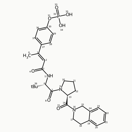 C/C(=C\C(=O)N[C@H](C(=O)N1CCC[C@H]1C(=O)N1CCc2ccccc2C1)C(C)(C)C)c1ccc(OP(=O)(O)O)cc1